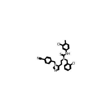 Cc1ccc(NC(=S)N(CCc2cncn2Cc2ccc(C#N)cc2)Cc2ccccc2Cl)cc1Cl